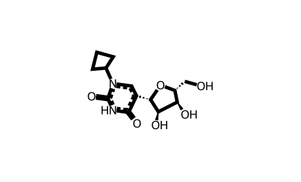 O=c1[nH]c(=O)n(C2CCC2)cc1[C@@H]1O[C@H](CO)[C@@H](O)[C@H]1O